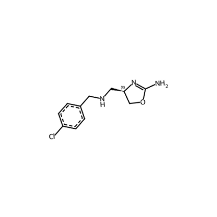 NC1=N[C@H](CNCc2ccc(Cl)cc2)CO1